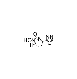 O=C1N(O)[C@H]2CC[C@@H](c3nnco3)N1C2